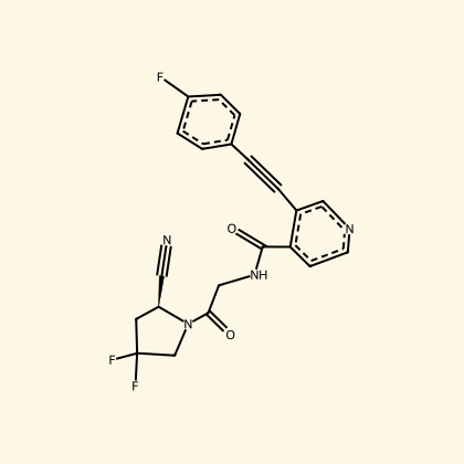 N#C[C@@H]1CC(F)(F)CN1C(=O)CNC(=O)c1ccncc1C#Cc1ccc(F)cc1